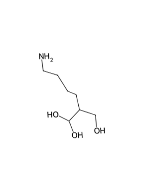 NCCCCC(CO)C(O)O